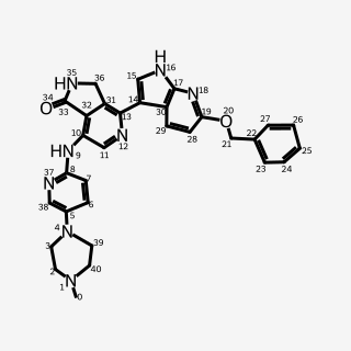 CN1CCN(c2ccc(Nc3cnc(-c4c[nH]c5nc(OCc6ccccc6)ccc45)c4c3C(=O)NC4)nc2)CC1